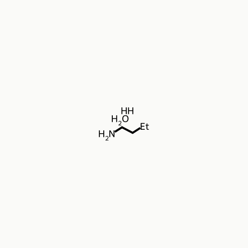 CCCCN.O.[HH]